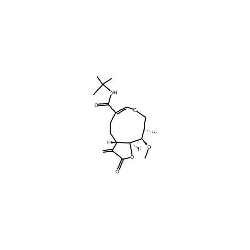 C=C1C(=O)O[C@@H]2[C@H](OC)[C@@H](C)CC/C=C(/C(=O)NC(C)(C)C)CC[C@@H]12